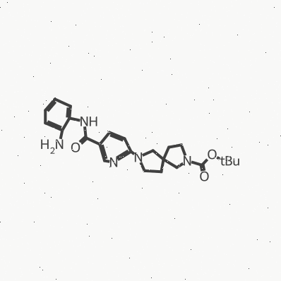 CC(C)(C)OC(=O)N1CCC2(CCN(c3ccc(C(=O)Nc4ccccc4N)cn3)C2)C1